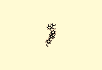 Cc1nc2ccccc2n1Cc1ccc(S(=O)(=O)N(C)Cc2ccc(Cl)cc2)cc1